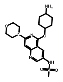 CS(=O)(=O)Nc1cnc2cc(N3CCOCC3)nc(OC3CCC(N)CC3)c2c1